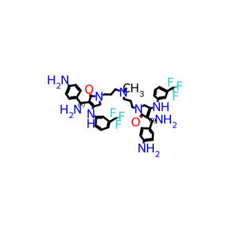 CN(CCCN1CC(Nc2cccc(C(F)(F)F)c2)=C([C@H](N)c2ccc(N)cc2)C1=O)CCCN1CC(Nc2cccc(C(F)(F)F)c2)=C([C@H](N)c2ccc(N)cc2)C1=O